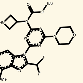 COc1cccc2c1nc(C(F)F)n2-c1nc(N2CCOCC2)nc(N(C(=O)OC(C)(C)C)C2CNC2)n1